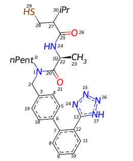 CCCCCN(Cc1ccc(-c2ccccc2-c2nnn[nH]2)cc1)C(=O)[C@H](C)NC(=O)C(CS)C(C)C